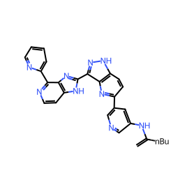 C=C(CCCC)Nc1cncc(-c2ccc3[nH]nc(-c4nc5c(-c6ccccn6)nccc5[nH]4)c3n2)c1